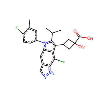 Cc1cc(-n2c(C(C)C)c(C3CC(O)(C(=O)O)C3)c3c(F)c4[nH]ncc4cc32)ccc1F